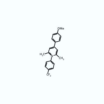 COc1ccc(-c2cc(C)[n+](-c3ccc(C(F)(F)F)cc3)c(C)c2)cc1